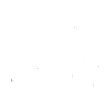 [2H]C([2H])([2H])Oc1ccc(C2(C(=O)OC)CCCC2)cc1Cl